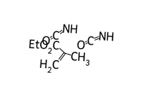 C=C(C)C(=O)OCC.N=C=O.N=C=O